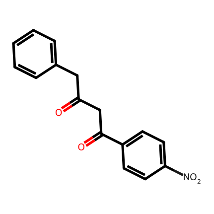 O=C(CC(=O)c1ccc([N+](=O)[O-])cc1)Cc1ccccc1